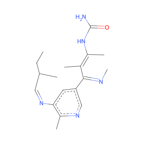 CCC(C)/C=N\c1cc(C(=N/C)/C(C)=C(\C)NC(N)=O)cnc1C